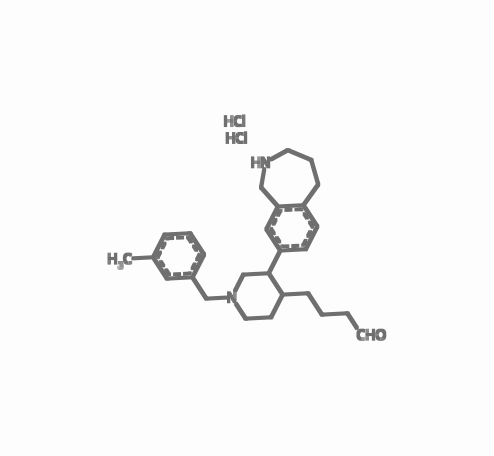 Cc1cccc(CN2CCC(CCCC=O)C(c3ccc4c(c3)CNCCC4)C2)c1.Cl.Cl